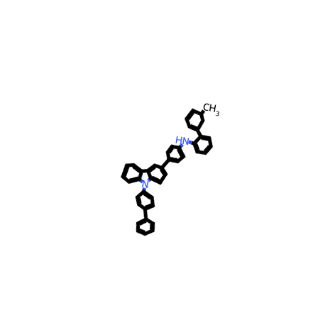 CC1C=CC=C(c2ccccc2Nc2ccc(-c3ccc4c(c3)c3ccccc3n4-c3ccc(-c4ccccc4)cc3)cc2)C1